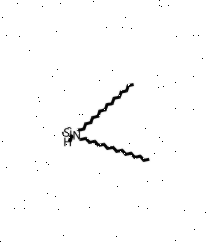 C=C(N(CCCCCCCCCCCCCCCC)CCCCCCCCCCCCCCCC)[SiH](C)C